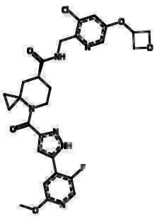 COc1cc(-c2cc(C(=O)N3CC[C@H](C(=O)NCc4ncc(OC5COC5)cc4Cl)CC34CC4)n[nH]2)c(F)cn1